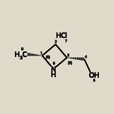 C[C@@H]1C[C@H](CO)N1.Cl